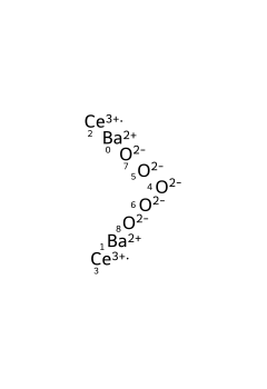 [Ba+2].[Ba+2].[Ce+3].[Ce+3].[O-2].[O-2].[O-2].[O-2].[O-2]